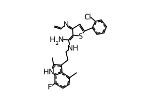 C=C/N=C1/C=C(c2ccccc2Cl)S/C1=C(/N)NCCc1c(C)[nH]c2c(F)ccc(C)c12